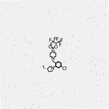 CC[C@H]1CCN(c2cc(Cl)ccc2CN2CCN(C(=O)OC(C(F)(F)F)C(F)(F)F)CC2)C1